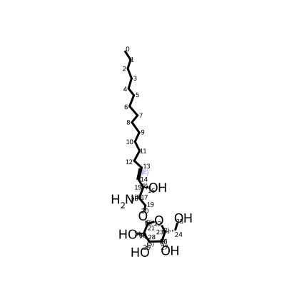 CCCCCCCCCCCCC/C=C/[C@@H](O)[C@@H](N)CO[C@@H]1O[C@H](CO)[C@H](O)[C@H](O)[C@H]1O